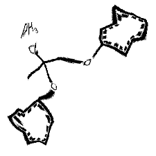 CC(Cl)(COc1ccccc1)Oc1ccccc1.P